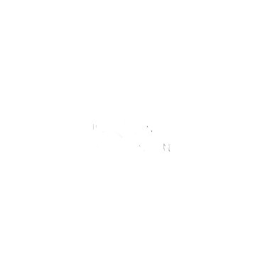 CCN(C)c1nc2ccc(C(=O)O)cc2o1